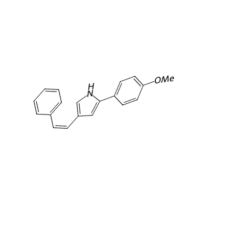 COc1ccc(-c2cc(/C=C\c3ccccc3)c[nH]2)cc1